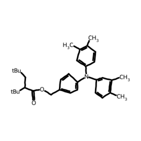 Cc1ccc(N(c2ccc(COC(=O)C(CC(C)(C)C)C(C)(C)C)cc2)c2ccc(C)c(C)c2)cc1C